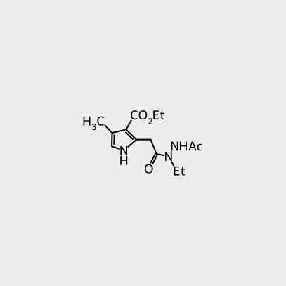 CCOC(=O)c1c(C)c[nH]c1CC(=O)N(CC)NC(C)=O